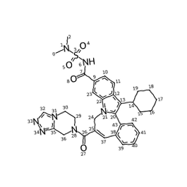 CN(C)S(=O)(=O)NC(=O)c1ccc2c(C3CCCCC3)c3n(c2c1)CC(C(=O)N1CCn2cnnc2C1)=Cc1ccccc1-3